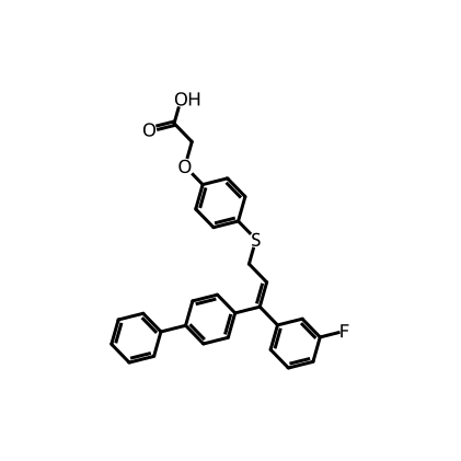 O=C(O)COc1ccc(SC/C=C(\c2ccc(-c3ccccc3)cc2)c2cccc(F)c2)cc1